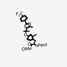 CCCCCC(Cc1ccc(OC(C)(C)c2sc(-c3ccc(C(F)(F)F)cc3)nc2C)cc1C)C(=O)OC